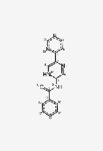 O=C(NC1C=NC(c2ccccn2)=CN1)c1ccccc1